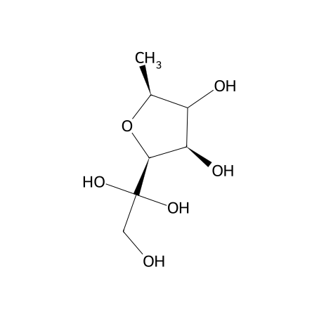 C[C@@H]1O[C@H](C(O)(O)CO)[C@H](O)C1O